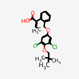 C/C=C(/C(=O)O)c1ccccc1COc1cc(Cl)c(OCC(C)(C)C)c(Cl)c1